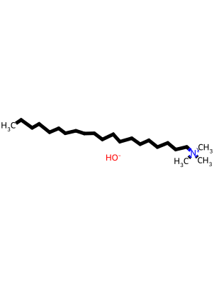 CCCCCCCCCCCCCCCCCCCC[N+](C)(C)C.[OH-]